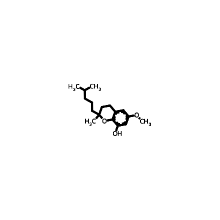 COc1cc(O)c2c(c1)CCC(C)(CCCC(C)C)O2